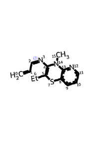 C=C/C=N\C1=C(CC)Sc2cccnc2N1C